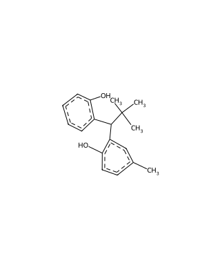 Cc1ccc(O)c(C(c2ccccc2O)C(C)(C)C)c1